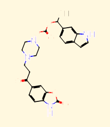 CC(OC(=O)ON1CCN(CCC(=O)c2ccc3[nH]c(=O)oc3c2)CC1)c1ccc2cc[nH]c2c1